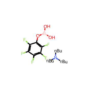 CCCCN(CCCC)CCCC.OB(O)Oc1c(F)c(F)c(F)c(F)c1F